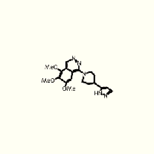 COc1cc2c(N3CCC(c4ccn[nH]4)CC3)nncc2c(OC)c1OC